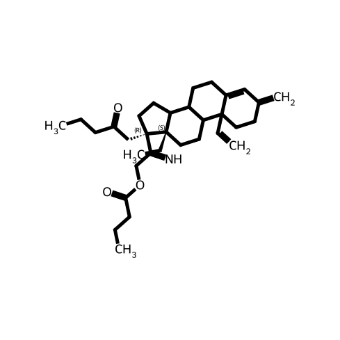 C=CC12CCC(=C)C=C1CCC1C2CC[C@@]2(CC)C1CC[C@]2(CC(=O)CCC)C(=N)COC(=O)CCC